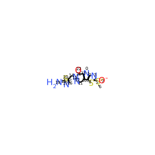 Cn1c2nc([S+](C)[O-])sc2c2cnn(Cc3cnc(N)s3)c(=O)c21